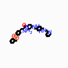 Cc1ccccc1S(=O)(=O)c1ccc(CC(N)C(=O)N2CCC(NCc3ccc(CNCc4ccccn4)cc3)CC2)cc1